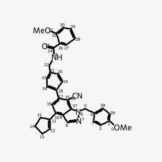 COc1ccc(Cn2ncc3c(C4=CCCC4)cc(-c4ccc(CNC(=O)c5ccccc5OC)cc4)c(C#N)c32)cc1